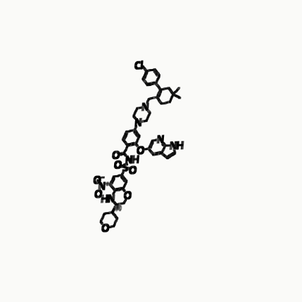 CC1(C)CCC(CN2CCN(c3ccc(C(=O)NS(=O)(=O)c4cc5c(c([N+](=O)[O-])c4)N[C@H](C4CCOCC4)CO5)c(Oc4cnc5[nH]ccc5c4)c3)CC2)=C(c2ccc(Cl)cc2)C1